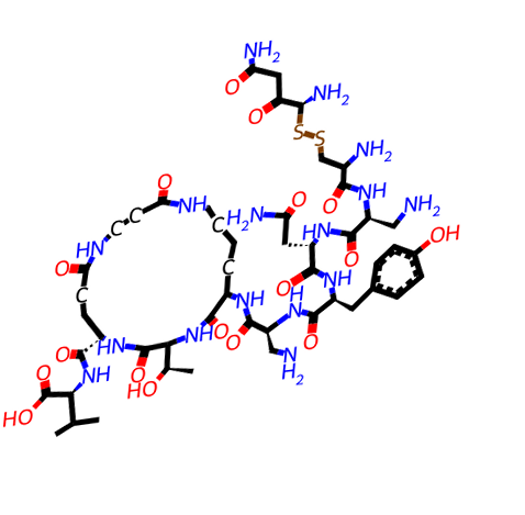 CC(C)[C@H](NC(=O)[C@@H]1CCC(=O)NCCC(=O)NCCCCC(NC(=O)[C@H](CN)NC(=O)[C@H](Cc2ccc(O)cc2)NC(=O)[C@H](CC(N)=O)NC(=O)[C@H](CN)NC(=O)C(N)CSS[C@H](N)C(=O)CC(N)=O)C(=O)NC([C@@H](C)O)C(=O)N1)C(=O)O